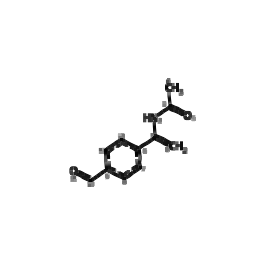 C=C(NC(C)=O)c1ccc(C=O)cc1